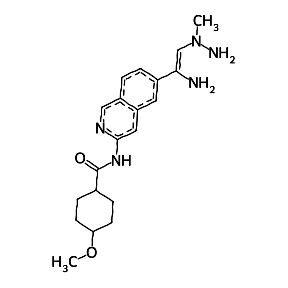 COC1CCC(C(=O)Nc2cc3cc(/C(N)=C/N(C)N)ccc3cn2)CC1